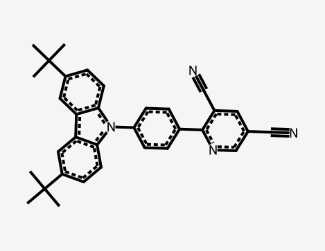 CC(C)(C)c1ccc2c(c1)c1cc(C(C)(C)C)ccc1n2-c1ccc(-c2ncc(C#N)cc2C#N)cc1